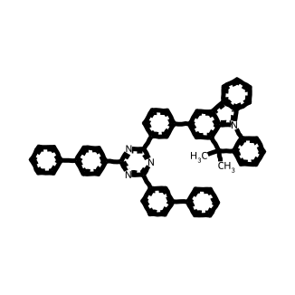 CC1(C)c2ccccc2-n2c3ccccc3c3cc(-c4cccc(-c5nc(-c6ccc(-c7ccccc7)cc6)nc(-c6cccc(-c7ccccc7)c6)n5)c4)cc1c32